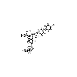 Cc1ccc(-c2ccc(CO[C@](C)(C(=O)NO)[C@@H](O)c3cc(CO[Si](C)(C)C(C)(C)C)on3)cc2)cc1